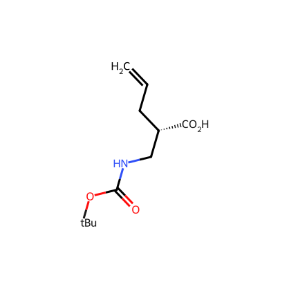 C=CC[C@@H](CNC(=O)OC(C)(C)C)C(=O)O